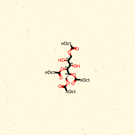 CCCCCCCCC(=O)OC[C@H](O)[C@@H](O)[C@H](OC(=O)CCCCCCCC)[C@@H](COC(=O)CCCCCCCC)OC(=O)CCCCCCCC